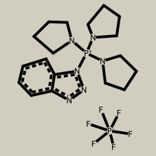 F[P-](F)(F)(F)(F)F.c1ccc2c(c1)nnn2[P+](N1CCCC1)(N1CCCC1)N1CCCC1